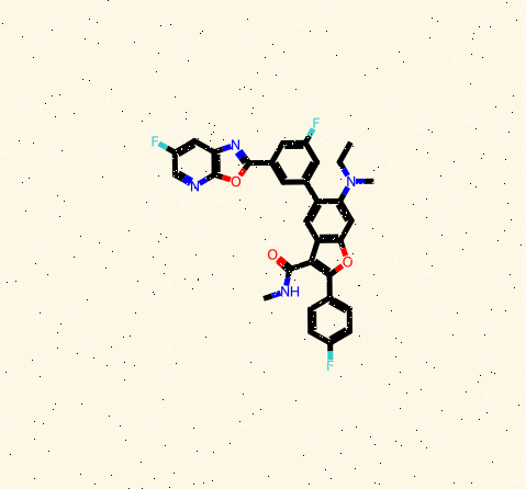 CCN(C)c1cc2oc(-c3ccc(F)cc3)c(C(=O)NC)c2cc1-c1cc(F)cc(-c2nc3cc(F)cnc3o2)c1